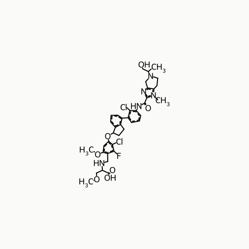 COCC(NCc1c(OC)cc(OC2CCc3c(-c4cccc(NC(=O)c5nc6c(n5C)CCN(C(C)CO)C6)c4Cl)cccc32)c(Cl)c1F)C(=O)O